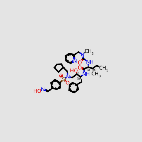 CC[C@H](C)[C@H](NC(=O)N(C)Cc1ccccn1)C(=O)N[C@@H](Cc1ccccc1)[C@@H](O)CN(CC1CCCC1)S(=O)(=O)c1ccc(C=NO)cc1